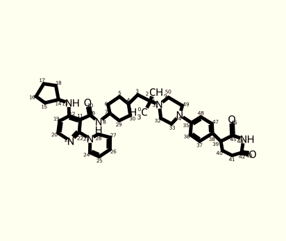 CC(C)(CC1CCC(NC(=O)c2c(NC3CCCC3)ccnc2N2C=CC=CC2)CC1)N1CCN(c2ccc(C3CCC(=O)NC3=O)cc2)CC1